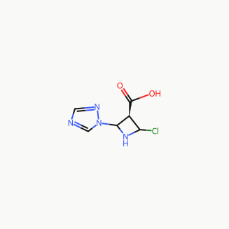 O=C(O)[C@H]1C(Cl)NC1n1cncn1